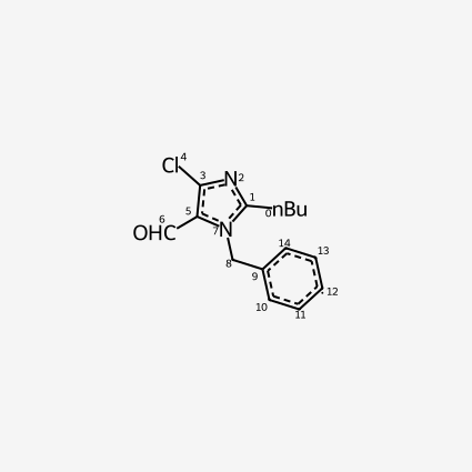 CCCCc1nc(Cl)c(C=O)n1Cc1cc[c]cc1